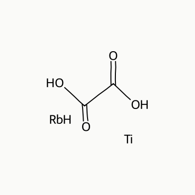 O=C(O)C(=O)O.[RbH].[Ti]